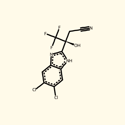 N#CC[C@](O)(c1nc2cc(Cl)c(Cl)cc2[nH]1)C(F)(F)F